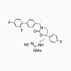 CNC(=NC#N)NCC[C@@]1(c2ccc(F)cc2)CCN([C@@H](C)c2ccc(-c3ccc(F)cc3F)cc2)C(=O)O1